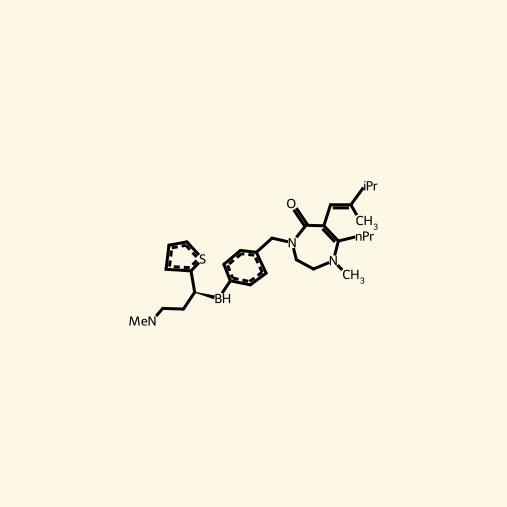 CCCC1=C(/C=C(\C)C(C)C)C(=O)N(Cc2ccc(B[C@@H](CCNC)c3cccs3)cc2)CCN1C